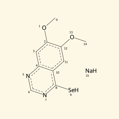 COc1cc2ncnc([SeH])c2cc1OC.[NaH]